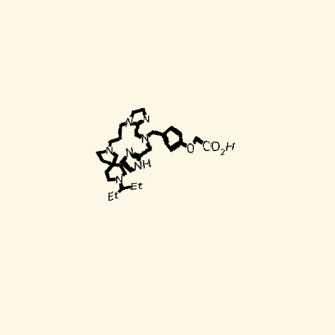 CCC(CC)N1CCC2(CCN(CCCN3CCN=C3CN(Cc3ccc(OCC(=O)O)cc3)Cc3ncc[nH]3)C2)CC1